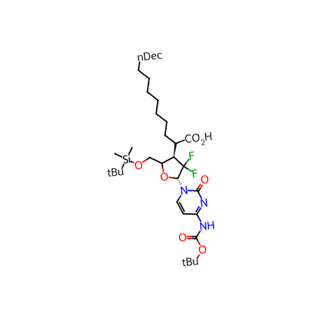 CCCCCCCCCCCCCCCCCC(C(=O)O)[C@@H]1C(CO[Si](C)(C)C(C)(C)C)O[C@@H](n2ccc(NC(=O)OC(C)(C)C)nc2=O)C1(F)F